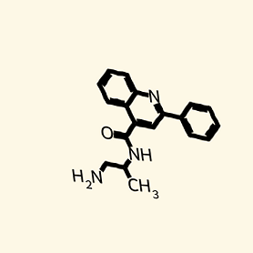 CC(CN)NC(=O)c1cc(-c2ccccc2)nc2ccccc12